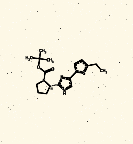 CCc1ccc(-c2c[nH]c([C@@H]3CCCN3C(=O)OC(C)(C)C)n2)s1